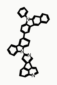 c1ccc(-n2c3ccc(-c4ccc5c(c4)c4ccccc4n5-c4cc5c(cn4)-c4ccnc6cccc-5c46)cc3c3cc4ccccc4cc32)cc1